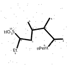 CCCCCC(C)C(C)C(C)CC(CC)S(=O)(=O)O